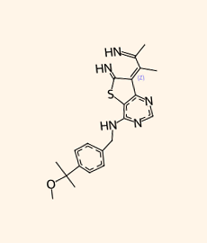 COC(C)(C)c1ccc(CNc2ncnc3c2SC(=N)/C3=C(/C)C(C)=N)cc1